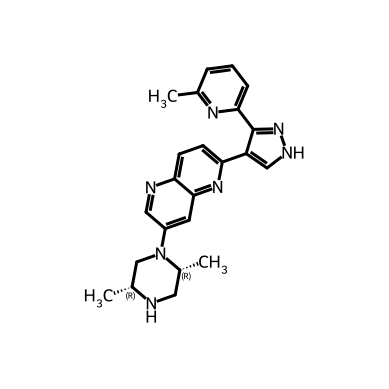 Cc1cccc(-c2n[nH]cc2-c2ccc3ncc(N4C[C@@H](C)NC[C@H]4C)cc3n2)n1